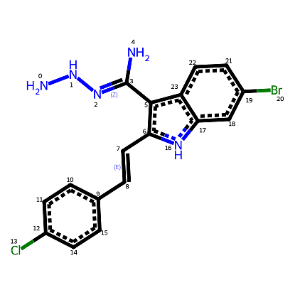 NN/N=C(\N)c1c(/C=C/c2ccc(Cl)cc2)[nH]c2cc(Br)ccc12